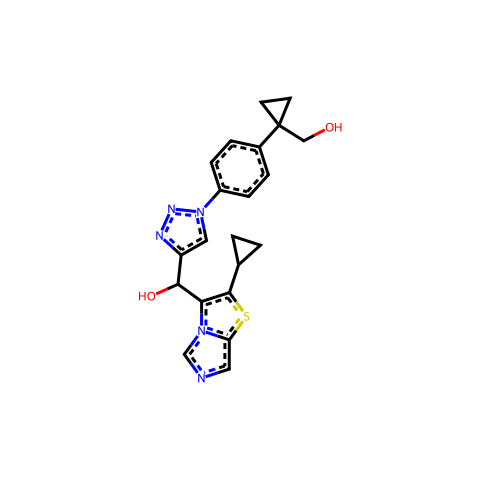 OCC1(c2ccc(-n3cc(C(O)c4c(C5CC5)sc5cncn45)nn3)cc2)CC1